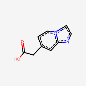 O=C(O)Cc1ccn2ccnc2c1